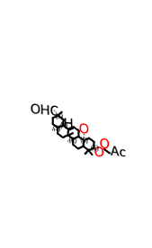 CC(=O)CC(=O)O[C@H]1CC[C@@]2(C)C(CC[C@]3(C)C2C(=O)C=C2[C@@H]4C[C@@](C)(C=O)CC[C@]4(C)CCC23C)C1(C)C